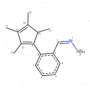 CCCC/N=C\c1ccccc1C1=C(C)C(C)=C(C)C1C